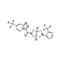 O=C(c1nnc2cc(C(F)(F)F)ccn12)N1C[C@@H]2CN(c3ccccc3C(F)(F)F)C[C@@H]2C1